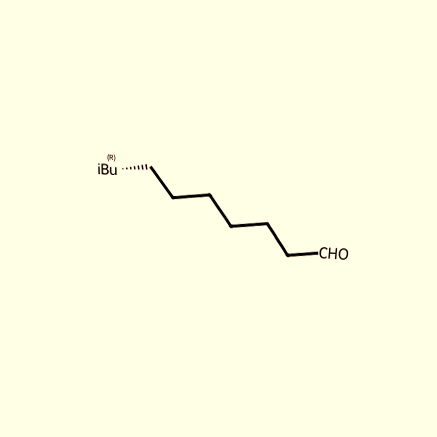 CC[C@@H](C)CCCCCCC=O